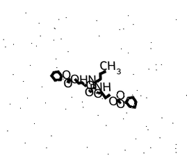 CCCCC(=N)NP(=O)(OCCCOC(=O)OC1CCCCC1)OCCCOC(=O)OC1CCCCC1